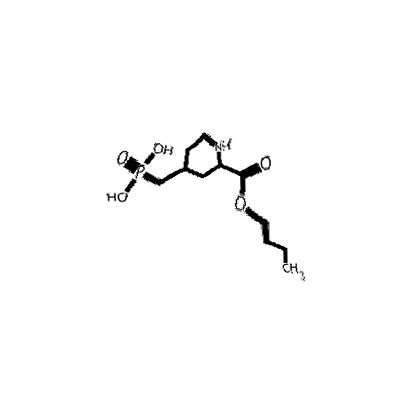 CCCCOC(=O)C1CC(CP(=O)(O)O)CCN1